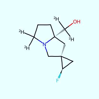 [2H]C1([2H])CC[C@@]2(C([2H])([2H])O)C[C@@]3(C[C@H]3F)CN12